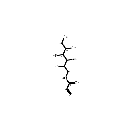 C=CC(=O)OCC(F)C(F)C(F)C(F)CF